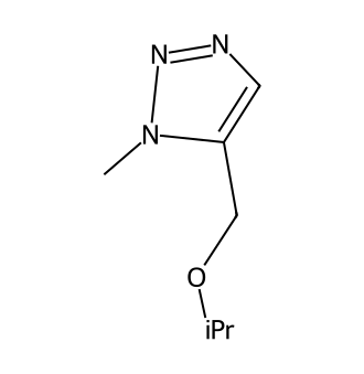 CC(C)OCc1cnnn1C